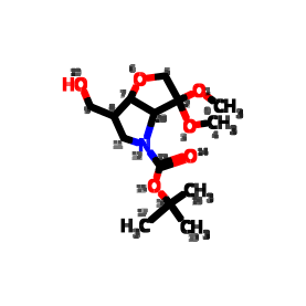 COC1(OC)COC2C(CO)CN(C(=O)OC(C)(C)C)C21